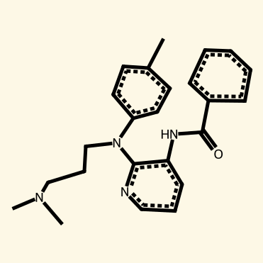 Cc1ccc(N(CCCN(C)C)c2ncccc2NC(=O)c2ccccc2)cc1